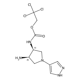 N[C@@H]1CN(c2cn[nH]c2)C[C@@H]1NC(=O)OCC(Cl)(Cl)Cl